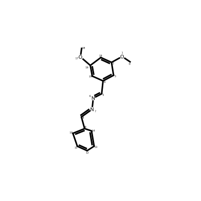 COc1cc(C=NN=Cc2ccccc2)cc(OC)c1